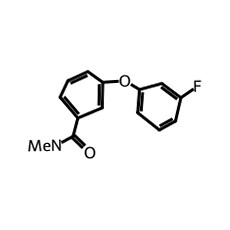 CNC(=O)c1cccc(Oc2cccc(F)c2)c1